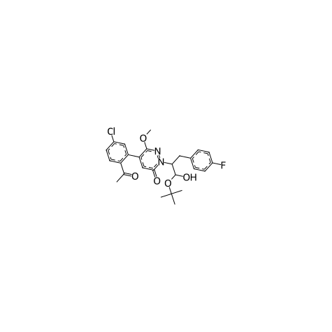 COc1nn(C(Cc2ccc(F)cc2)C(O)OC(C)(C)C)c(=O)cc1-c1cc(Cl)ccc1C(C)=O